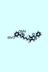 COc1ccc(OC)c(-c2noc(CCCn3c(C)c4cnn(-c5ccccc5)c(=O)c4c3C)n2)c1